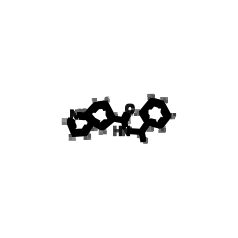 CC(NC(=O)c1ccc2ncccc2c1)c1ccccc1